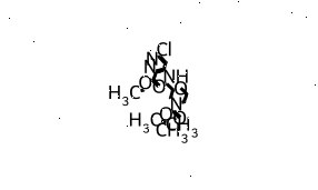 CCOC(=O)c1nnc(Cl)cc1NCC1CN(C(=O)OC(C)(C)C)CCO1